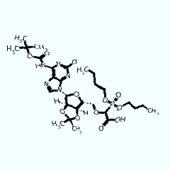 CCCCOP(=O)(OCCCC)C(OC[C@H]1O[C@@H](n2cnc3c(NC(=O)OC(C)(C)C)nc(Cl)nc32)[C@@H]2OC(C)(C)O[C@@H]21)C(=O)O